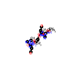 C[C@@H]1C[C@H](NC(=O)OC(C)(C)Cc2ccc(COC(=O)Nc3cc4ccc(C5=CCOCC5)cc4nc3C(=O)Nc3cnccc3N3C[C@H](C)C[C@H](NC(=O)OC(C)(C)C)C3)cc2)CN(c2ccncc2NC(=O)c2nc3cc(C4=CCOCC4)ccc3cc2N)C1